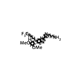 COc1cc(OC)cc(N(CCCNCC(F)(F)F)c2ccc3ncc(-c4cnn(CCCN)c4)nc3c2)c1